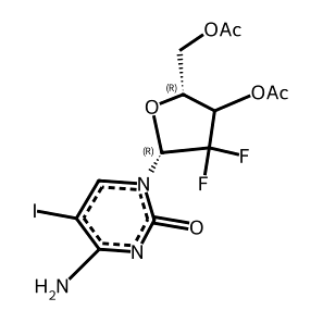 CC(=O)OC[C@H]1O[C@@H](n2cc(I)c(N)nc2=O)C(F)(F)C1OC(C)=O